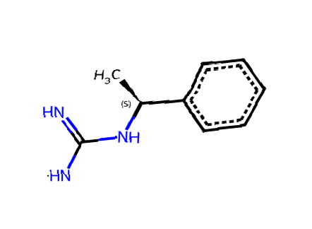 C[C@H](NC([NH])=N)c1ccccc1